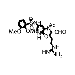 COc1cccc(S(=O)(=O)Nc2c[nH]c(=O)c(N(C(C)=O)[C@H](C=O)CCCNC(=N)N)c2)c1OC